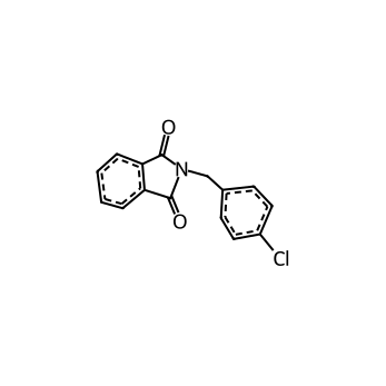 O=C1c2ccccc2C(=O)N1Cc1ccc(Cl)cc1